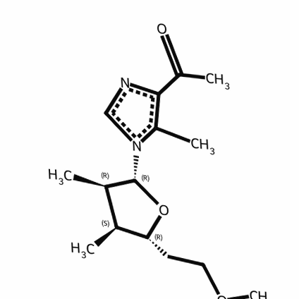 COCC[C@H]1O[C@@H](n2cnc(C(C)=O)c2C)[C@H](C)[C@@H]1C